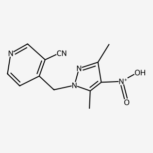 Cc1nn(Cc2ccncc2C#N)c(C)c1[N+](=O)O